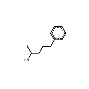 NC(I)CCCc1ccccc1